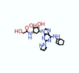 O=C(CO)N[C@H]1C[C@@H](n2cnc3c(NC4CC5CCC4C5)nc(-n4cccn4)nc32)[C@H](O)[C@@H]1O